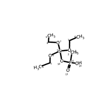 CCO[Si](OCC)(OCC)OP(C)(=O)O